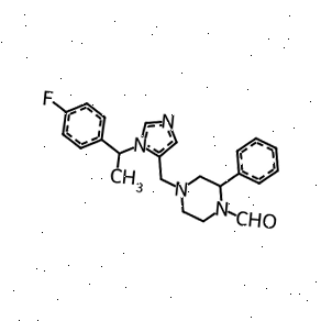 CC(c1ccc(F)cc1)n1cncc1CN1CCN(C=O)C(c2ccccc2)C1